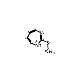 CSC1=NC=CC=CN1